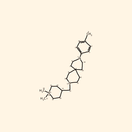 Cc1ccc(N2CCC3(CCN(CC4CC[N+](C)(C)CC4)CC3)CC2)cc1